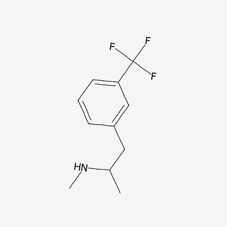 CNC(C)Cc1cccc(C(F)(F)F)c1